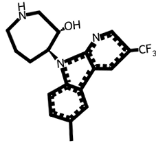 Cc1ccc2c(c1)c1cc(C(F)(F)F)cnc1n2[C@H]1CCCNC[C@@H]1O